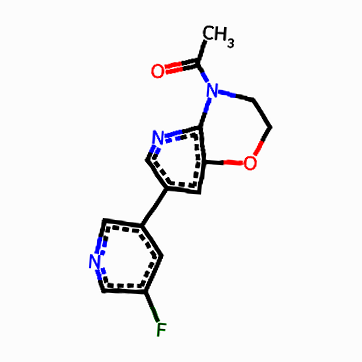 CC(=O)N1CCOc2cc(-c3cncc(F)c3)cnc21